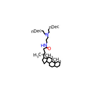 CCCCCCCCCCCCN(CCCCCCCCCCCC)CCCNC(=O)CC[C@@H](C)C1CCC2C3CCC4CCCCC4(C)C3CCC21C